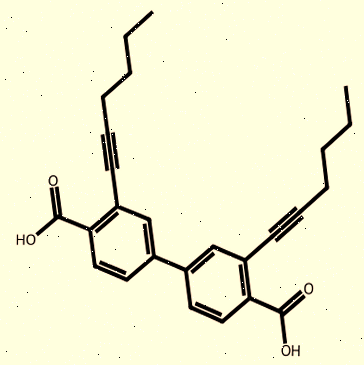 CCCCC#Cc1cc(-c2ccc(C(=O)O)c(C#CCCCC)c2)ccc1C(=O)O